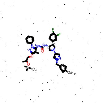 COc1ccc(Cn2cc(N3C[C@@H](NC(=O)Nc4c(C)c(OCC(C)O[Si](C)(C)C(C)(C)C)nn4-c4ccccc4)[C@H](c4ccc(F)c(F)c4)C3)cn2)cc1